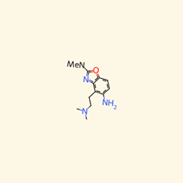 CNc1nc2c(CCN(C)C)c(N)ccc2o1